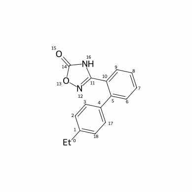 CCc1ccc(-c2ccccc2-c2noc(=O)[nH]2)cc1